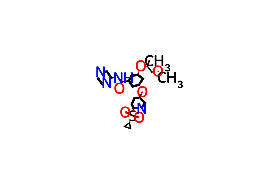 COC[C@H](C)Oc1cc(Oc2ccc(S(=O)(=O)C3CC3)nc2)cc(C(=O)Nc2cnccn2)c1